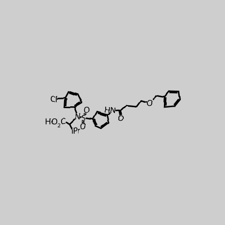 CC(C)C(C(=O)O)N(c1cccc(Cl)c1)S(=O)(=O)c1cccc(NC(=O)CCCOCc2ccccc2)c1